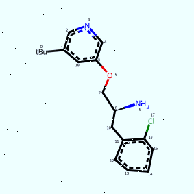 CC(C)(C)c1cncc(OC[C@@H](N)Cc2ccccc2Cl)c1